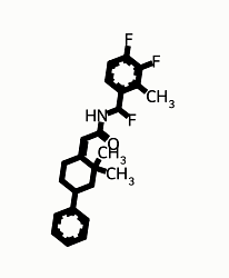 Cc1c(C(F)NC(=O)C=C2CCC(c3ccccc3)CC2(C)C)ccc(F)c1F